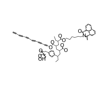 C#CC#CC#CC#CC#CC#COC(=O)C(CC(CC(CC)c1ccc(CS(=O)(=S)OO)cc1)C(=O)OC)CC(CC)C(=O)OCCCCCCn1c(=C)c2cccc3cccc(c1=O)c32